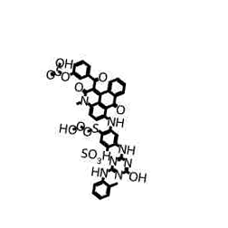 Cc1ccccc1Nc1nc(O)nc(Nc2cc(Nc3ccc4c5c3C(=O)c3ccccc3-c5c(C(=O)c3cccc(OS(=O)O)c3)c(=O)n4C)c(SOOO)cc2S(=O)(=O)O)n1